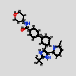 Cc1cccc(-c2[nH]c(C(C)(C)C)nc2-c2cccc(-c3ccc(C(=O)NC4CCOCC4)cc3)c2)n1